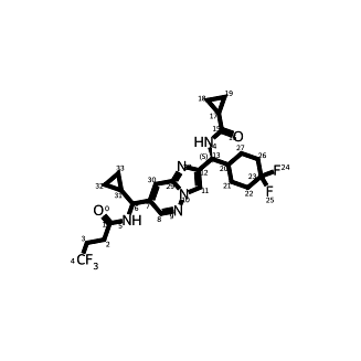 O=C(CCC(F)(F)F)NC(c1cnn2cc([C@@H](NC(=O)C3CC3)C3CCC(F)(F)CC3)nc2c1)C1CC1